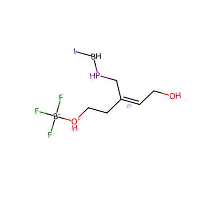 OC/C=C(/CC[OH+][B-](F)(F)F)CPBI